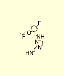 CC(F)COc1ccc(F)cc1[C@@H](C)NC1=N/C(=C/C=N)N(C)C=C1